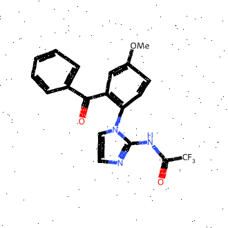 COc1ccc(-n2ccnc2NC(=O)C(F)(F)F)c(C(=O)c2ccccc2)c1